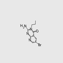 CCCn1c(N)nc2ncc(Br)cc2c1=O